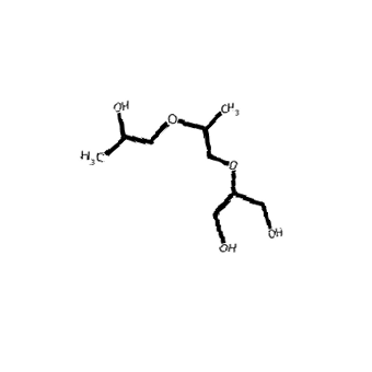 CC(O)COC(C)COC(CO)CO